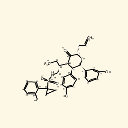 C=CC[C@@H]1O[C@H](c2cccc(Cl)c2)[C@@H](c2ccc(Cl)cc2)N([C@H](CNS(=O)(=O)C2(c3ccccc3F)CC2)CC(F)(F)F)C1=O